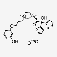 C[N+]1(CCCOc2cccc(O)c2)CC[C@H](OC(=O)C(O)(c2cccs2)c2cccs2)C1.O=C[O-]